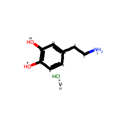 Cl.NCCc1ccc(O)c(O)c1.[V]